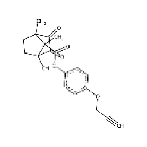 C#CCOc1ccc(OC(=O)C2(C)C3(C)CCC2(C)C(=O)C3=O)cc1